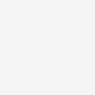 c1ccc(-c2c3c(c(-c4ccccc4)c4ccccc24)-c2ccc(-c4ccc(-n5c6ccncc6c6cc7ccc8cccc9ccc(c7c89)c65)cc4)c4cccc-3c24)cc1